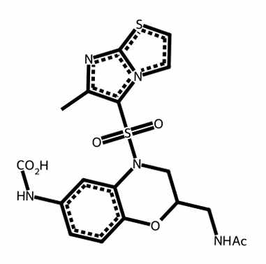 CC(=O)NCC1CN(S(=O)(=O)c2c(C)nc3sccn23)c2cc(NC(=O)O)ccc2O1